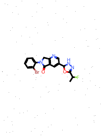 CC(F)C1=NNC(c2cnc3c(c2)C(=O)N(c2ccccc2Br)C3)O1